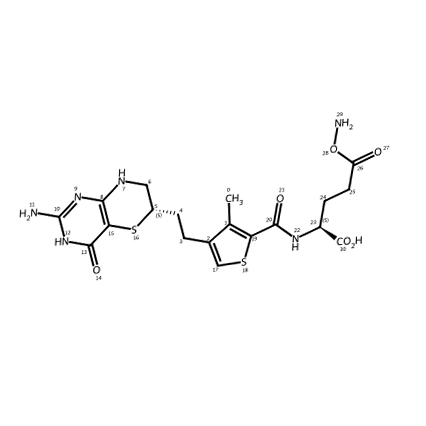 Cc1c(CC[C@H]2CNc3nc(N)[nH]c(=O)c3S2)csc1C(=O)N[C@@H](CCC(=O)ON)C(=O)O